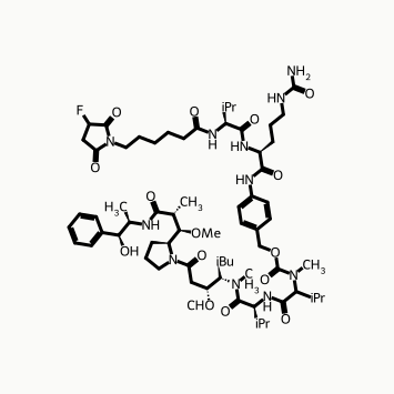 CC[C@H](C)[C@@H]([C@H](C=O)CC(=O)N1CCC[C@H]1[C@H](OC)[C@@H](C)C(=O)N[C@H](C)[C@@H](O)c1ccccc1)N(C)C(=O)[C@@H](NC(=O)C(C(C)C)N(C)C(=O)OCc1ccc(NC(=O)[C@H](CCCNC(N)=O)NC(=O)[C@@H](NC(=O)CCCCCN2C(=O)CC(F)C2=O)C(C)C)cc1)C(C)C